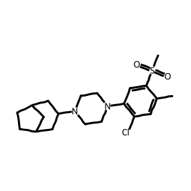 Cc1cc(Cl)c(N2CCN(C3CC4CCC(C4)C3)CC2)cc1S(C)(=O)=O